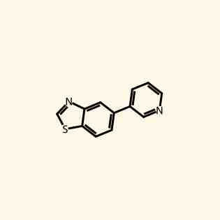 c1cncc(-c2ccc3scnc3c2)c1